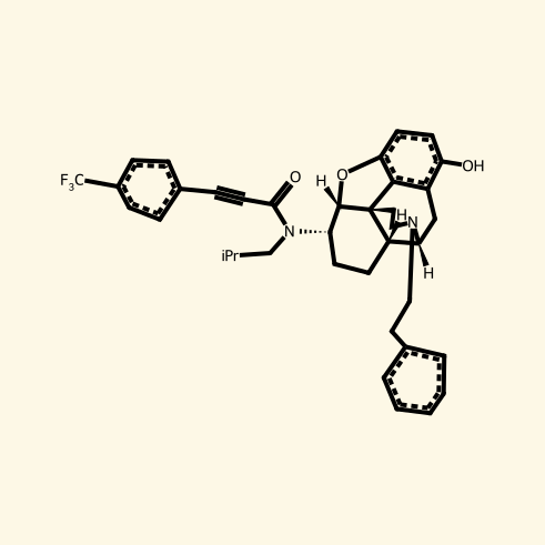 CC(C)CN(C(=O)C#Cc1ccc(C(F)(F)F)cc1)[C@H]1CC[C@H]2[C@H]3Cc4c(O)ccc5c4[C@@]2(CCN3CCc2ccccc2)[C@H]1O5